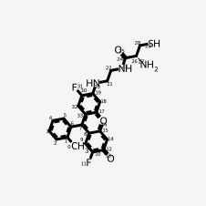 Cc1ccccc1-c1c2cc(F)c(=O)cc-2oc2cc(NCCNC(=O)[C@@H](N)CS)c(F)cc12